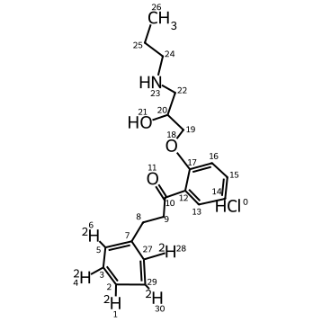 Cl.[2H]c1c([2H])c([2H])c(CCC(=O)c2ccccc2OCC(O)CNCCC)c([2H])c1[2H]